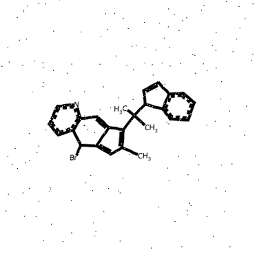 CC1=C(C(C)(C)C2C=Cc3ccccc32)C2=Cc3ncccc3C(Br)C2=C1